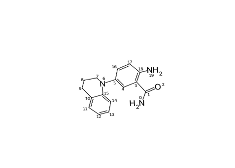 NC(=O)c1cc(N2CCCc3ccccc32)ccc1N